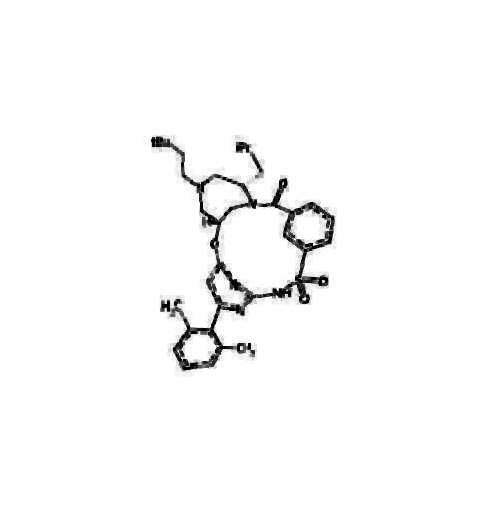 Cc1cccc(C)c1-c1cc2nc(n1)NS(=O)(=O)c1cccc(c1)C(=O)N1C[C@@H](CN(CCC(C)(C)C)C[C@@H]1CC(C)C)O2